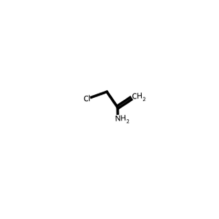 C=C(N)CCl